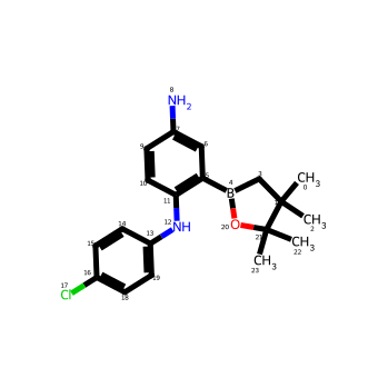 CC1(C)CB(c2cc(N)ccc2Nc2ccc(Cl)cc2)OC1(C)C